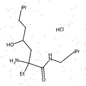 CCC(N)(CC(O)CCC(C)C)C(=O)NCC(C)C.Cl